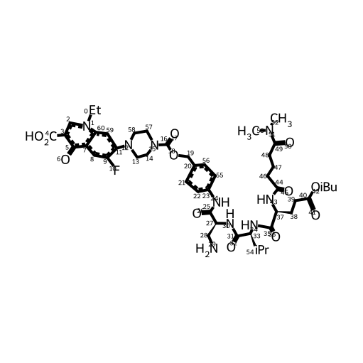 CCn1cc(C(=O)O)c(=O)c2cc(F)c(N3CCN(C(=O)OCc4ccc(NC(=O)[C@H](CN)NC(=O)[C@@H](NC(=O)[C@H](CCC(=O)OCC(C)C)NC(=O)CCCC(=O)N(C)C)C(C)C)cc4)CC3)cc21